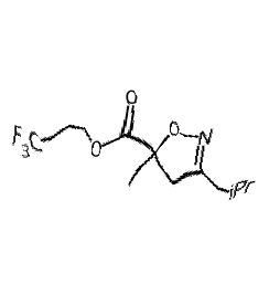 CC(C)C1=NOC(C)(C(=O)OCC(F)(F)F)C1